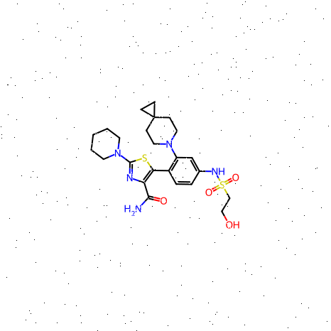 NC(=O)c1nc(N2CCCCC2)sc1-c1ccc(NS(=O)(=O)CCO)cc1N1CCC2(CC1)CC2